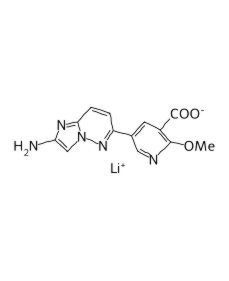 COc1ncc(-c2ccc3nc(N)cn3n2)cc1C(=O)[O-].[Li+]